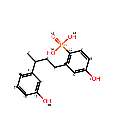 CC(CCc1cc(O)ccc1P(=O)(O)O)c1cccc(O)c1